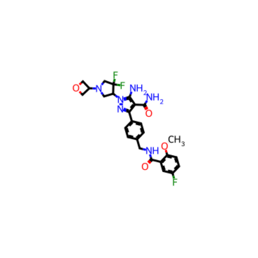 COc1ccc(F)cc1C(=O)NCc1ccc(-c2nn(C3CN(C4COC4)CC3(F)F)c(N)c2C(N)=O)cc1